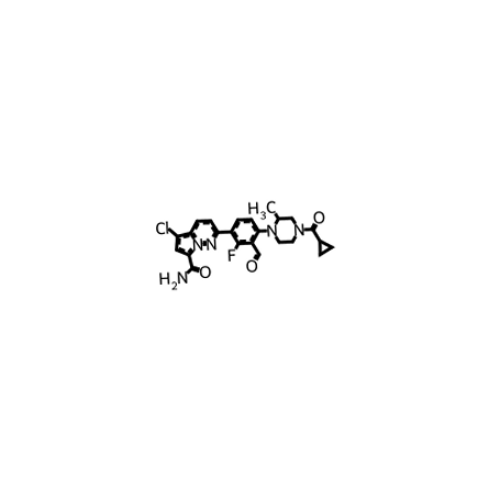 CC1CN(C(=O)C2CC2)CCN1c1ccc(-c2ccc3c(Cl)cc(C(N)=O)n3n2)c(F)c1C=O